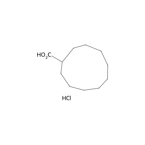 Cl.O=C(O)C1CCCCCCCCC1